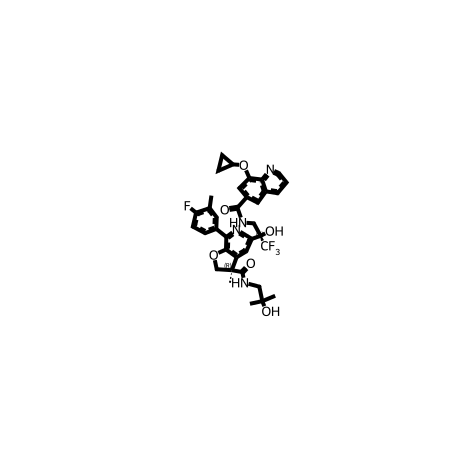 Cc1cc(-c2nc([C@@](O)(CNC(=O)c3cc(OC4CC4)c4ncccc4c3)C(F)(F)F)cc3c2OC[C@]3(C)C(=O)NCC(C)(C)O)ccc1F